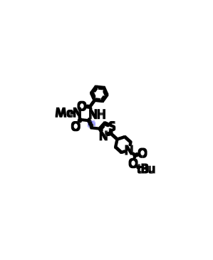 CNC(=O)/C(=C/c1csc(C2CCN(C(=O)OC(C)(C)C)CC2)n1)NC(=O)c1ccccc1